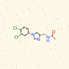 CC(=O)NCc1cn(-c2ccc(Cl)c(Cl)c2)cn1